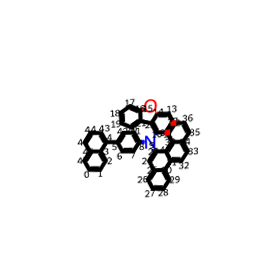 c1ccc2c(-c3ccc(N(c4cccc5oc6ccccc6c45)c4cc5ccccc5c5ccc6ccccc6c45)cc3)cccc2c1